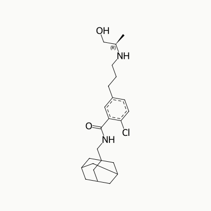 C[C@H](CO)NCCCc1ccc(Cl)c(C(=O)NCC23CC4CC(CC(C4)C2)C3)c1